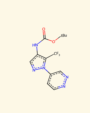 CC(C)(C)OC(=O)Nc1cnn(-c2ccnnc2)c1C(F)(F)F